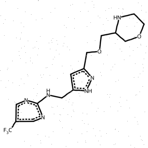 FC(F)(F)c1cnc(NCc2cc(COCC3COCCN3)n[nH]2)nc1